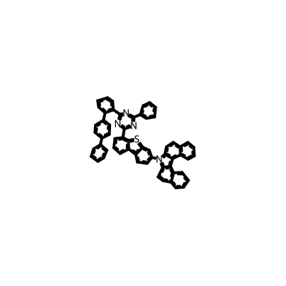 c1ccc(-c2ccc(-c3ccccc3-c3nc(-c4ccccc4)nc(-c4cccc5c4sc4cc(-n6c7ccc8ccccc8c7c7c8ccccc8ccc76)ccc45)n3)cc2)cc1